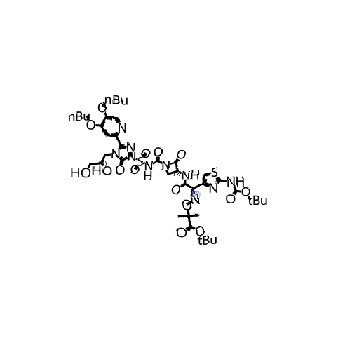 CCCCOc1cnc(-c2nn(S(=O)(=O)NC(=O)N3C[C@H](NC(=O)/C(=N\OC(C)(C)C(=O)OC(C)(C)C)c4csc(NC(=O)OC(C)(C)C)n4)C3=O)c(=O)n2C[C@@H](O)CO)cc1OCCCC